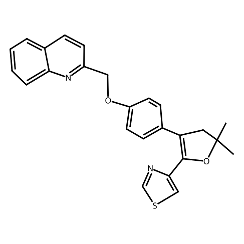 CC1(C)CC(c2ccc(OCc3ccc4ccccc4n3)cc2)=C(c2cscn2)O1